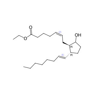 CCCCCC/C=C/[C@H]1CCC(O)[C@@H]1C/C=C\CCCC(=O)OCC